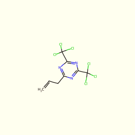 C=CCc1nc(C(Cl)(Cl)Cl)nc(C(Cl)(Cl)Cl)n1